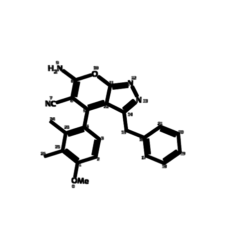 COc1ccc(-c2c(C#N)c(N)oc3nnc(Cc4ccccc4)c2-3)c(C)c1C